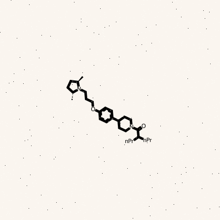 CCCC(CCC)C(=O)N1CCC(c2ccc(OCCCN3[C@H](C)CC[C@H]3C)cc2)CC1